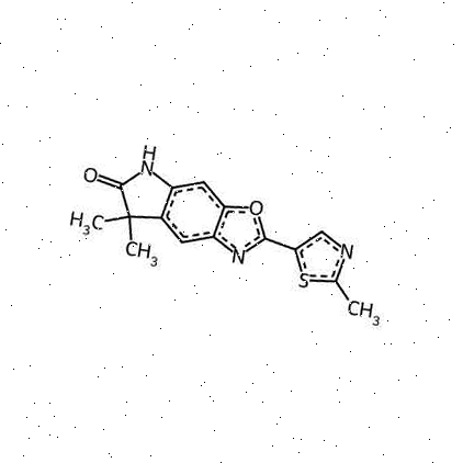 Cc1ncc(-c2nc3cc4c(cc3o2)NC(=O)C4(C)C)s1